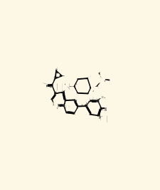 CN(C)C[C@H]1CC[C@@H](Nc2c(C(=O)C3CC3)cnc3ccc(-c4cc(Cl)c(O)c(Cl)c4)cc23)CC1